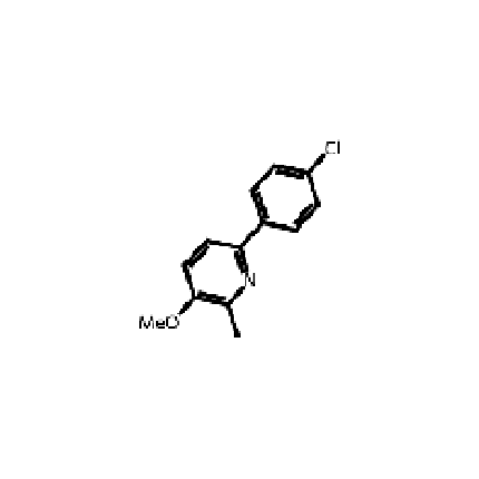 COc1ccc(-c2ccc(Cl)cc2)nc1C